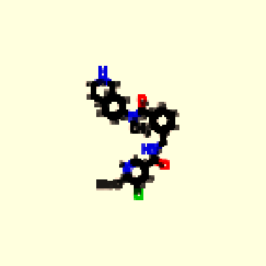 COc1ncc(C(=O)NCc2cccc(C(=O)N(C)c3ccc4c(c3)CNCC4)c2)cc1Cl